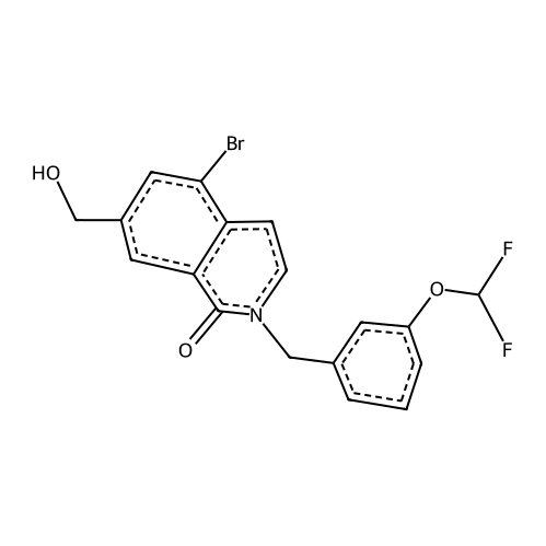 O=c1c2cc(CO)cc(Br)c2ccn1Cc1cccc(OC(F)F)c1